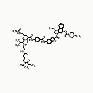 C=CC(=O)N(CCCC(=O)NCCN[C@H](C(=O)N[C@@H](CCCNC(N)=O)C(=O)Nc1ccc(C(=O)Nc2ccc3[nH]c(C(=O)N4C[C@@H](CBr)c5c4cc(OC(=O)N4CCN(C)CC4)c4ccccc54)cc3c2)cc1)C(C)C)C(C)=O